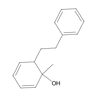 CC1(O)C=CC=CC1CCc1ccccc1